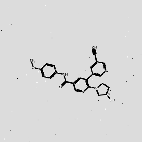 C#Cc1cncc(-c2cc(C(=O)Nc3ccc(OC(F)(F)F)cc3)cnc2N2CC[C@@H](O)C2)c1